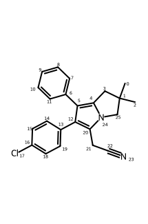 CC1(C)Cc2c(-c3ccccc3)c(-c3ccc(Cl)cc3)c(CC#N)n2C1